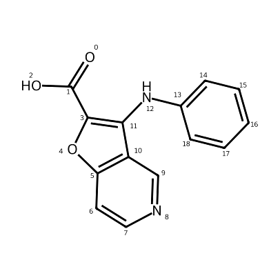 O=C(O)c1oc2ccncc2c1Nc1ccccc1